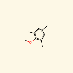 COc1c(C)cc(C)cc1C